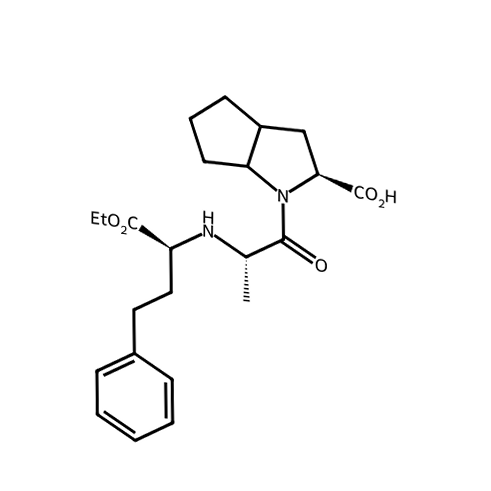 CCOC(=O)[C@H](CCc1ccccc1)N[C@@H](C)C(=O)N1C2CCCC2C[C@H]1C(=O)O